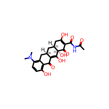 CC(=O)NC(=O)C1=C(O)C[C@@H]2C[C@@H]3Cc4c(N(C)C)ccc(O)c4C(=O)C3=C(O)[C@]2(O)C1=O